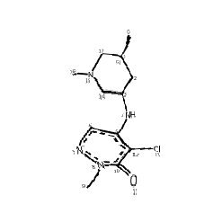 C[C@H]1CC(Nc2cnn(C)c(=O)c2Cl)CN(C)C1